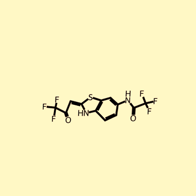 O=C(/C=C1\Nc2ccc(NC(=O)C(F)(F)F)cc2S1)C(F)(F)F